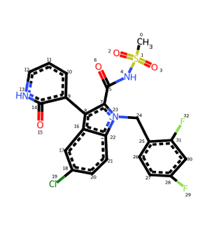 CS(=O)(=O)NC(=O)c1c(-c2ccc[nH]c2=O)c2cc(Cl)ccc2n1Cc1ccc(F)cc1F